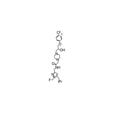 CC(C)Cc1cc(CNC(=O)CN2CCN(CC(O)COc3ccc(C(F)(F)F)cc3)CC2)nn1CF